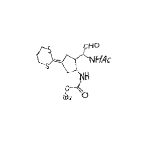 CC(=O)NC(C=O)C1CC(=C2SCCCS2)CC1NC(=O)OC(C)(C)C